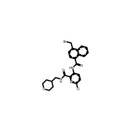 O=C(NCC1CCOCC1)c1nc(Cl)ccc1NC(=O)c1ccc(CBr)c2ccccc12